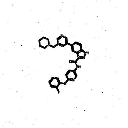 O=C(Nc1ccc(Oc2ccccc2F)nc1)c1n[nH]c2ccc(-c3cncc(CN4CCCCC4)c3)cc12